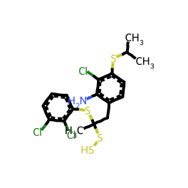 CC(C)Sc1ccc(CC(C)(SS)Sc2cccc(Cl)c2Cl)c(N)c1Cl